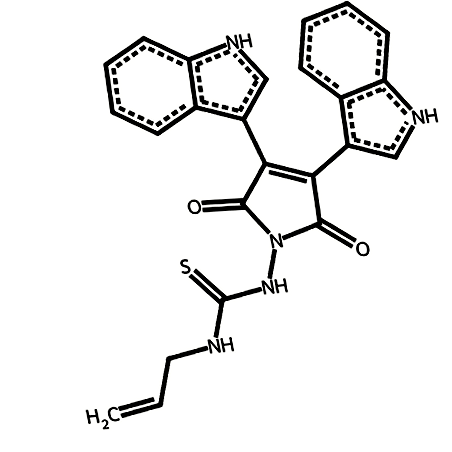 C=CCNC(=S)NN1C(=O)C(c2c[nH]c3ccccc23)=C(c2c[nH]c3ccccc23)C1=O